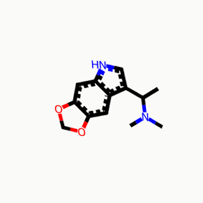 CC(c1c[nH]c2cc3c(cc12)OCO3)N(C)C